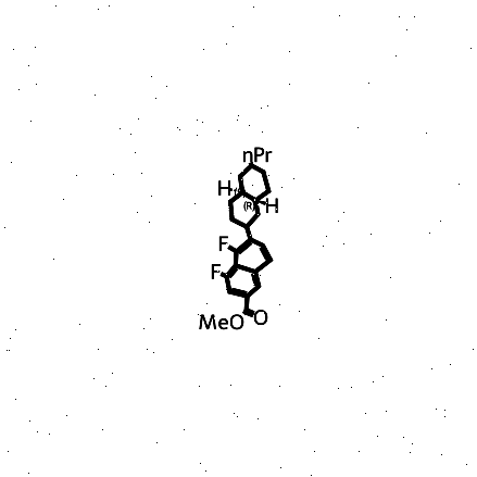 CCCC1CC[C@@H]2CC(c3ccc4cc(C(=O)OC)cc(F)c4c3F)CC[C@H]2C1